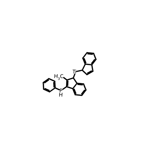 CC1=C(Pc2ccccc2)c2ccccc2[CH]1[Ti][CH]1C=Cc2ccccc21